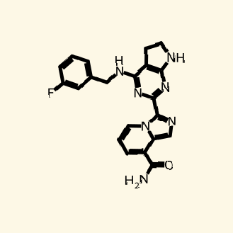 NC(=O)c1cccn2c(-c3nc4c(c(NCc5cccc(F)c5)n3)CCN4)ncc12